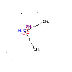 CCCCCCCCCCCCCC(=O)C(N)(COP)C(=O)CCCCCCCCCCCCC